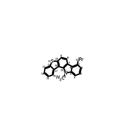 CC(C)c1cccc2c1c1ccc3sc4ccccc4c3c1n2C